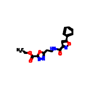 CCOC(=O)c1nnc(CCNC(=O)c2cc(-c3ccccc3)on2)o1